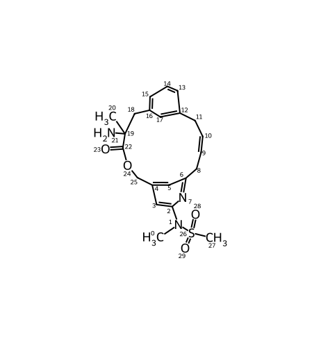 CN(c1cc2cc(n1)CC=CCc1cccc(c1)CC(C)(N)C(=O)OC2)S(C)(=O)=O